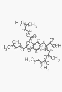 CCCC(C)C(=O)OC(C)CN[C@@H](Cc1ccc(OC(=O)OCCC(C)C)c(OC(=O)OCCC(C)C)c1)C(=O)OC